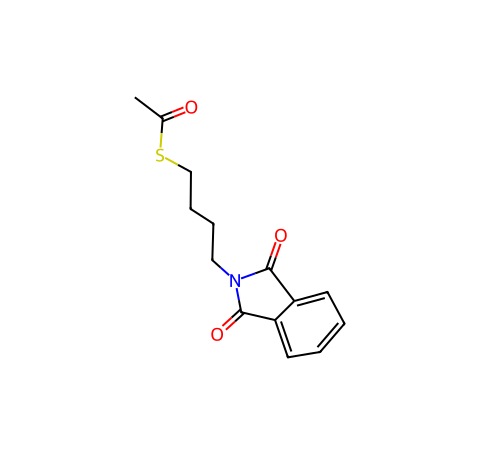 CC(=O)SCCCCN1C(=O)c2ccccc2C1=O